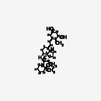 C=C1C(=CC=C2CCC[C@]3(C)[C@@H](C(C)CN4CCCCC4(C)C)CC[C@@H]23)C[C@@H](O)C[C@@H]1O